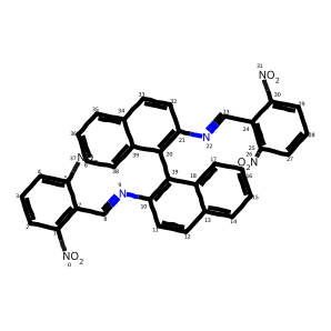 O=[N+]([O-])c1cccc([N+](=O)[O-])c1C=Nc1ccc2ccccc2c1-c1c(/N=C/c2c([N+](=O)[O-])cccc2[N+](=O)[O-])ccc2ccccc12